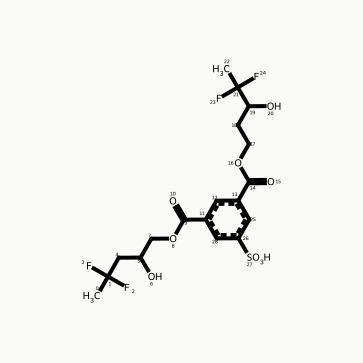 CC(F)(F)CC(O)COC(=O)c1cc(C(=O)OCCC(O)C(C)(F)F)cc(S(=O)(=O)O)c1